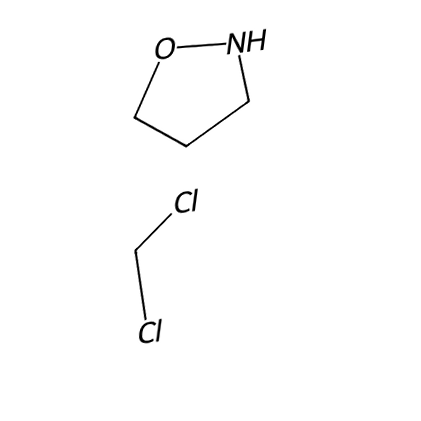 C1CNOC1.ClCCl